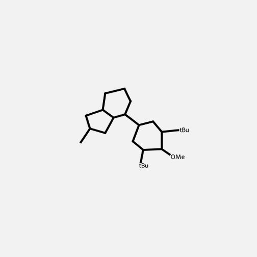 COC1C(C(C)(C)C)CC(C2CCCC3CC(C)CC32)CC1C(C)(C)C